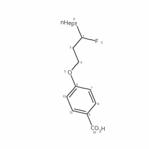 CCCCCCCC(F)CCOc1ccc(C(=O)O)cc1